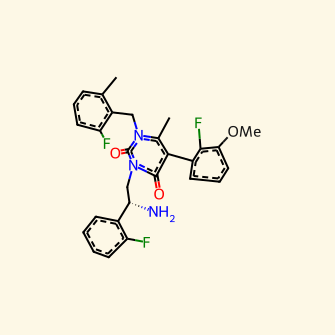 COc1cccc(-c2c(C)n(Cc3c(C)cccc3F)c(=O)n(C[C@H](N)c3ccccc3F)c2=O)c1F